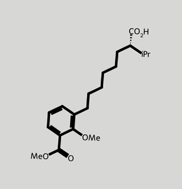 COC(=O)c1cccc(CCCCCC[C@H](C(=O)O)C(C)C)c1OC